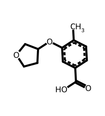 Cc1ccc(C(=O)O)cc1OC1CCOC1